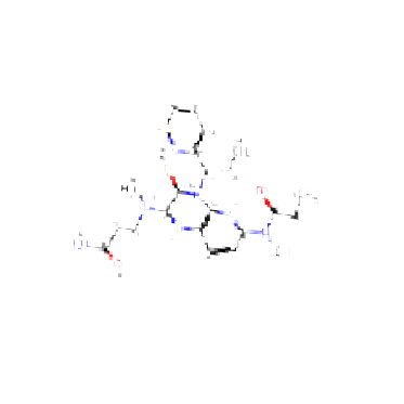 CCC(=O)N(C)c1ccc2nc(N(C)CCC(N)=O)c(=O)n([C@@H](CC)c3ccccn3)c2n1